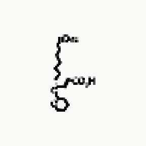 CCCCCCCCCCCCCCCCC[C@H](C=CC(=O)O)OC1CCCCO1